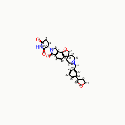 O=C1CC[C@H](N2Cc3c(ccc4c3OCC43CCN(Cc4cccc(C5CCOC5)c4)CC3)C2=O)C(=O)N1